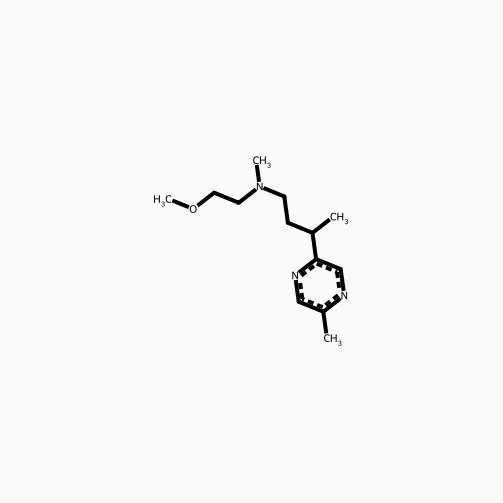 COCCN(C)CCC(C)c1cnc(C)cn1